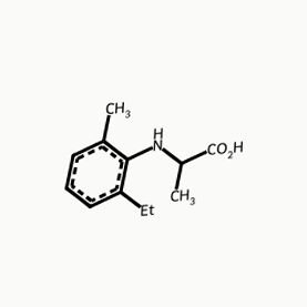 CCc1cccc(C)c1NC(C)C(=O)O